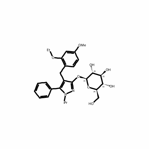 CCOc1cc(OC)ccc1Cc1c(O[C@@H]2O[C@H](CO)[C@@H](O)[C@H](O)[C@H]2O)nn(C(C)C)c1-c1ccccc1